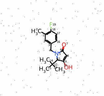 Cc1cc(CN2C(=O)C=C(O)C2C(C)(C)C)ccc1F